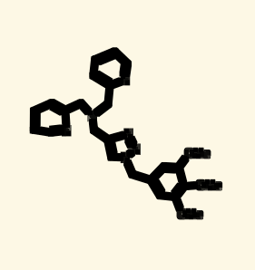 COc1cc(Cn2cc(CN(Cc3ccccn3)Cc3ccccn3)nn2)cc(OC)c1OC